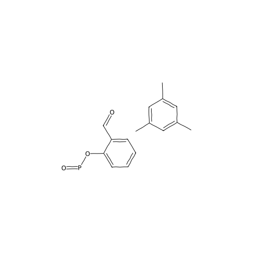 Cc1cc(C)cc(C)c1.O=Cc1ccccc1OP=O